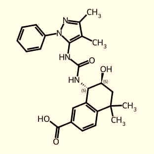 Cc1nn(-c2ccccc2)c(NC(=O)N[C@H]2c3cc(C(=O)O)ccc3C(C)(C)C[C@@H]2O)c1C